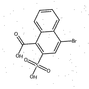 O=C(O)c1c(S(=O)(=O)O)cc(Br)c2ccccc12